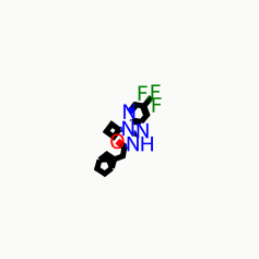 O=C(CC1CC2CCC1C2)Nc1nc2cc(C(F)(F)F)cnc2n1C1CCC1